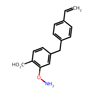 C=Cc1ccc(Cc2ccc(C(=O)O)c(ON)c2)cc1